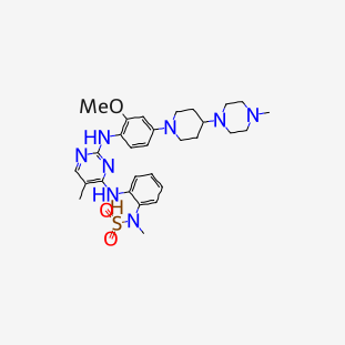 COc1cc(N2CCC(N3CCN(C)CC3)CC2)ccc1Nc1ncc(C)c(Nc2ccccc2N(C)[SH](=O)=O)n1